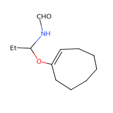 [CH2]CC(NC=O)OC1=CCCCCCC1